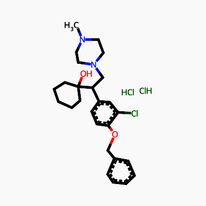 CN1CCN(CC(c2ccc(OCc3ccccc3)c(Cl)c2)C2(O)CCCCC2)CC1.Cl.Cl